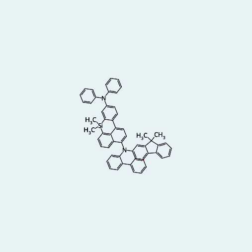 CC1(C)c2ccccc2-c2ccc(N(c3ccccc3-c3ccccc3)c3ccc4c5c(cccc35)[Si](C)(C)c3cc(N(c5ccccc5)c5ccccc5)ccc3-4)cc21